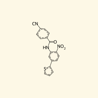 [C-]#[N+]c1ccc(C(=O)Nc2cc(-c3cccs3)ccc2[N+](=O)[O-])cc1